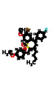 CCCCC1CC(c2ccc(F)cc2)c2cc(Br)c(OC)cc2S(=O)(=O)C1Cc1ccc(OC)cc1